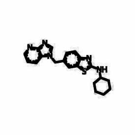 c1cnc2ncn(Cc3ccc4nc(NC5CCCCC5)sc4c3)c2c1